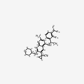 Cc1nc(N[C@H](C)c2cccc(C(F)F)c2F)c2cc(C3(C#N)CC3)c(NC3CCOCC3)nc2n1